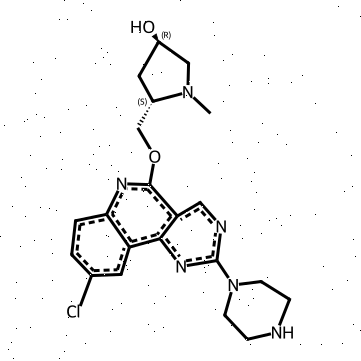 CN1C[C@H](O)C[C@H]1COc1nc2ccc(Cl)cc2c2nc(N3CCNCC3)ncc12